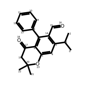 CC(C)c1cc2c(c(-c3ccccc3)c1C=O)C(=O)CC(C)(C)O2